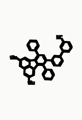 CC(C)(C)c1cc2c3c(cc(C(C)(C)C)cc3c1)-c1c(-c3ccccc3)c(-c3cccc(-c4cccc(C#N)c4)c3)cc(-c3ccccc3)c1-2